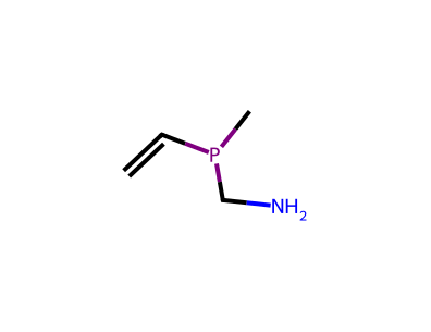 C=CP(C)CN